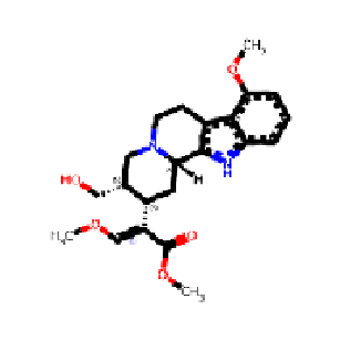 CO/C=C(/C(=O)OC)[C@H]1C[C@H]2c3[nH]c4cccc(OC)c4c3CCN2C[C@H]1CO